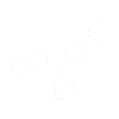 CCC(C)c1ccc(N(c2ccccc2)c2ccc3ccccc3c2)cc1